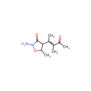 CC(=O)C(C)=C(C)C1C(=O)N(N)OC1C